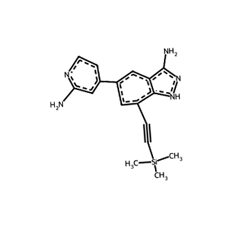 C[Si](C)(C)C#Cc1cc(-c2ccnc(N)c2)cc2c(N)n[nH]c12